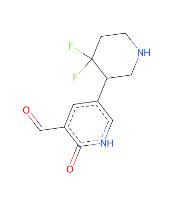 O=Cc1cc(C2CNCCC2(F)F)c[nH]c1=O